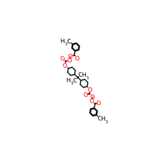 Cc1cccc(C(=O)OOC(=O)OC2CCC(C(C)(C)C3CCC(OC(=O)OOC(=O)c4cccc(C)c4)CC3)CC2)c1